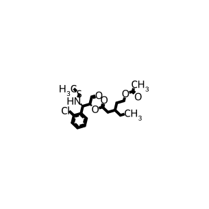 CCC(CCOC(C)=O)CC(=O)O[C@H](C=O)[C@H](NSC)c1ccccc1Cl